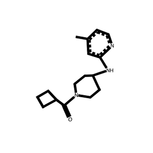 Cc1ccnc(NC2CCN(C(=O)C3CCC3)CC2)c1